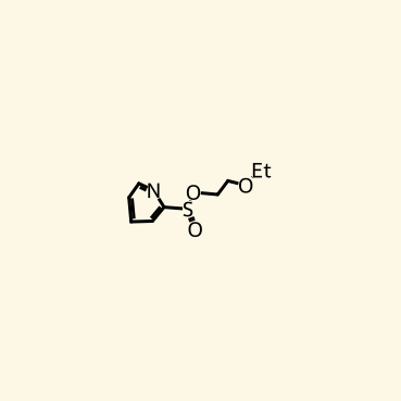 CCOCCOS(=O)c1ccccn1